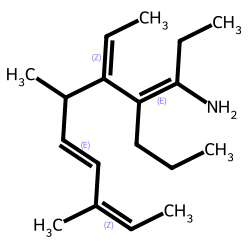 C/C=C(C)\C=C\C(C)C(=C/C)/C(CCC)=C(/N)CC